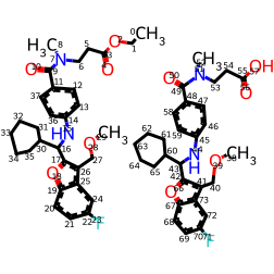 CCOC(=O)CCN(C)C(=O)c1ccc(NC(c2oc3ccc(F)cc3c2COC)C2CCCCC2)cc1.COCc1c(C(Nc2ccc(C(=O)N(C)CCC(=O)O)cc2)C2CCCCC2)oc2ccc(F)cc12